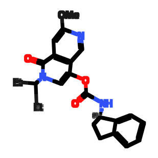 CCC(CC)n1cc(OC(=O)N[C@H]2CCc3ccccc32)c2cnc(OC)cc2c1=O